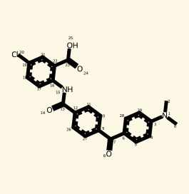 CN(C)c1ccc(C(=O)c2ccc(C(=O)Nc3ccc(Cl)cc3C(=O)O)cc2)cc1